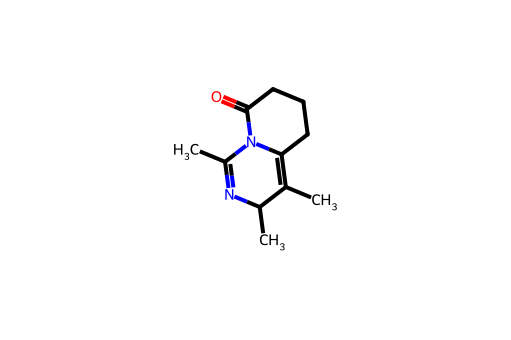 CC1=NC(C)C(C)=C2CCCC(=O)N12